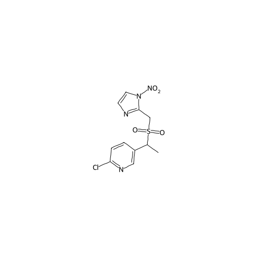 CC(c1ccc(Cl)nc1)S(=O)(=O)Cc1nccn1[N+](=O)[O-]